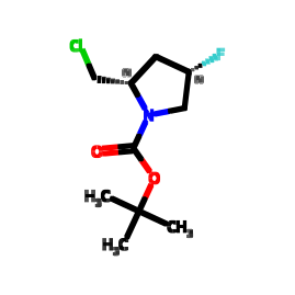 CC(C)(C)OC(=O)N1C[C@@H](F)C[C@H]1CCl